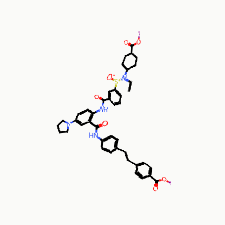 CCN(C1CCC(C(=O)OI)CC1)[S+]([O-])c1cccc(C(=O)Nc2ccc(N3CCCC3)cc2C(=O)Nc2ccc(CCc3ccc(C(=O)OI)cc3)cc2)c1